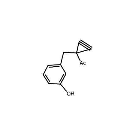 CC(=O)C1(Cc2cccc(O)c2)C#C1